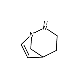 C1=CN2CC1CCN2